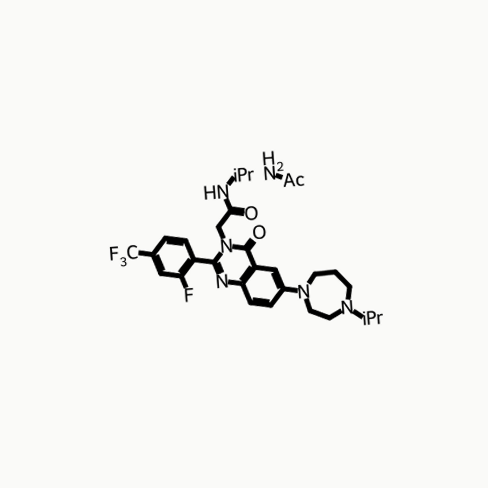 CC(C)NC(=O)Cn1c(-c2ccc(C(F)(F)F)cc2F)nc2ccc(N3CCCN(C(C)C)CC3)cc2c1=O.CC(N)=O